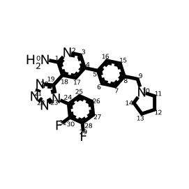 Nc1ncc(-c2ccc(CN3CCCC3)cc2)cc1-c1nnnn1-c1cccc(F)c1F